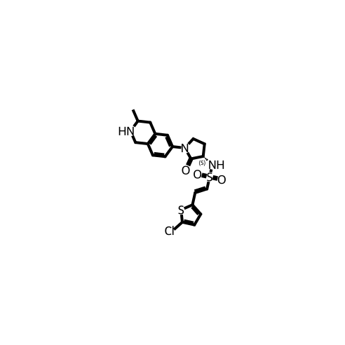 CC1Cc2cc(N3CC[C@H](NS(=O)(=O)C=Cc4ccc(Cl)s4)C3=O)ccc2CN1